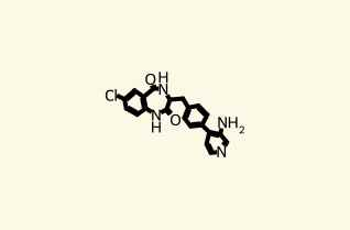 Nc1cnccc1-c1ccc(CC2NC(=O)c3cc(Cl)ccc3NC2=O)cc1